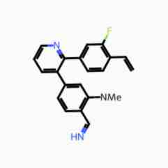 C=Cc1ccc(-c2ncccc2-c2ccc(C=N)c(NC)c2)cc1F